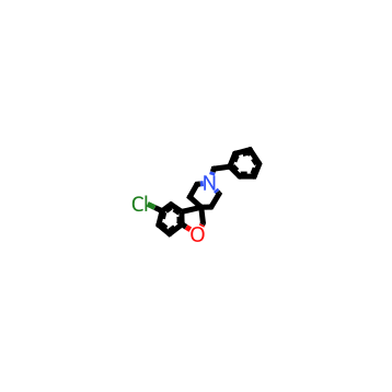 Clc1ccc2c(c1)C1(CCN(Cc3ccccc3)CC1)CO2